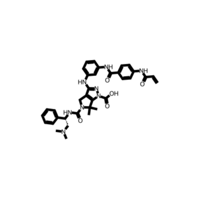 C=CC(=O)Nc1ccc(C(=O)Nc2cccc(Nc3nn(C(=O)O)c4c3CN(C(=O)N[C@H](CN(C)C)c3ccccc3)C4(C)C)c2)cc1